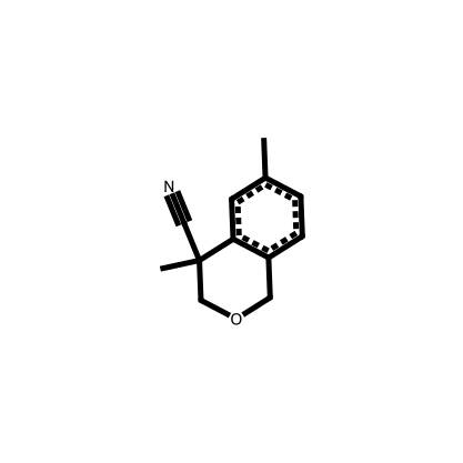 Cc1ccc2c(c1)C(C)(C#N)COC2